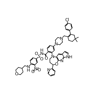 CC1(C)CCC(CN2CCN(c3ccc(C(=O)NS(=O)(=O)c4ccc(NCC5CCOCC5)c([N+](=O)[O-])c4)c(N4CCC(c5ccccn5)Oc5nc6[nH]ccc6cc54)c3)CC2)=C(c2ccc(Cl)cc2)C1